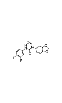 O=CN(C(=O)Nc1ccc(F)c(F)c1)c1ccc2c(c1)OCO2